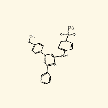 CS(=O)(=O)c1ccc(Nc2cc(-c3ccc(OC(F)(F)F)cc3)nc(-c3ccccc3)n2)cc1